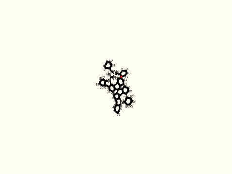 c1ccc(-c2nc(-c3ccccc3)nc(-n3c4ccccc4c4ccc5c(c43)-c3ccccc3C53c4ccccc4-c4c3ccc3c5ccccc5n(-c5ccccc5)c43)n2)cc1